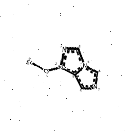 CCOn1ncn2cncc12